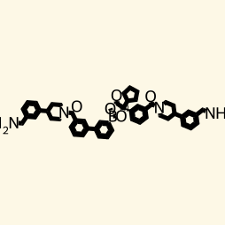 NCc1cccc(C2CCN(C(=O)c3cccc(-c4cccc(B5OC(=O)[C@](c6cccc(C(=O)N7CCC(c8cccc(CN)c8)CC7)c6)(C6CCCC6)O5)c4)c3)CC2)c1